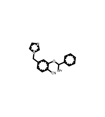 CCCC(Oc1cc(Cn2ccnc2)ccc1C#N)c1ccccc1